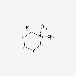 C[N+]1(C)CCCCC1.[F-]